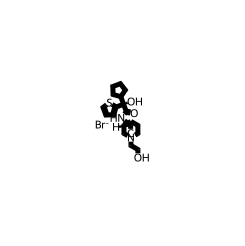 O=C(N[C@H]1C[N+]2(CCO)CCC1CC2)[C@](O)(c1cccs1)C1CCCC1.[Br-]